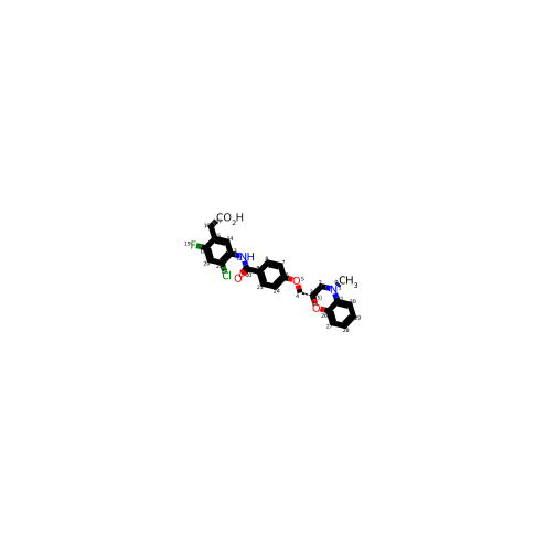 CN1C[C@@H](COc2ccc(C(=O)Nc3cc(CC(=O)O)c(F)cc3Cl)cc2)Oc2ccccc21